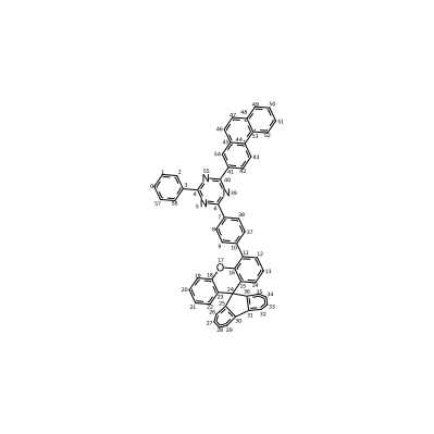 c1ccc(-c2nc(-c3ccc(-c4cccc5c4Oc4ccccc4C54c5ccccc5-c5ccccc54)cc3)nc(-c3ccc4c(ccc5ccccc54)c3)n2)cc1